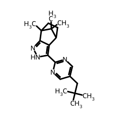 CC(C)(C)Cc1cnc(-c2[nH]nc3c2C2CCC3(C)C2(C)C)nc1